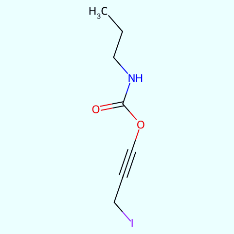 CCCNC(=O)OC#CCI